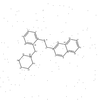 c1ccc(SCc2ccc3ccccc3c2)c(CN2CCCCC2)c1